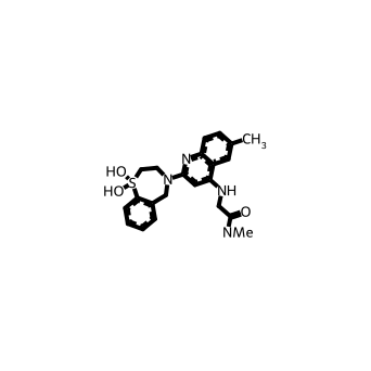 CNC(=O)CNc1cc(N2CCS(O)(O)c3ccccc3C2)nc2ccc(C)cc12